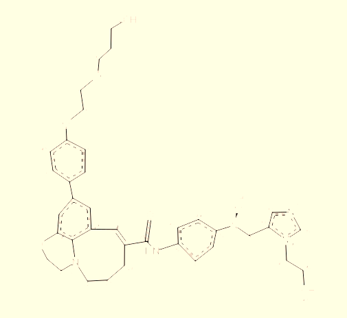 CCCCOCCOc1ccc(-c2cc3c4c(c2)OCCN4CCCC(C(=O)Nc2ccc([S@@+]([O-])Cc4cncn4CCC)cc2)=C3)cc1